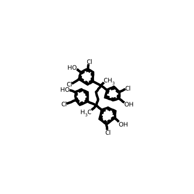 CC(CCC(C)(c1ccc(O)c(Cl)c1)c1cc(Cl)c(O)c(Cl)c1)(c1ccc(O)c(Cl)c1)c1ccc(O)c(Cl)c1